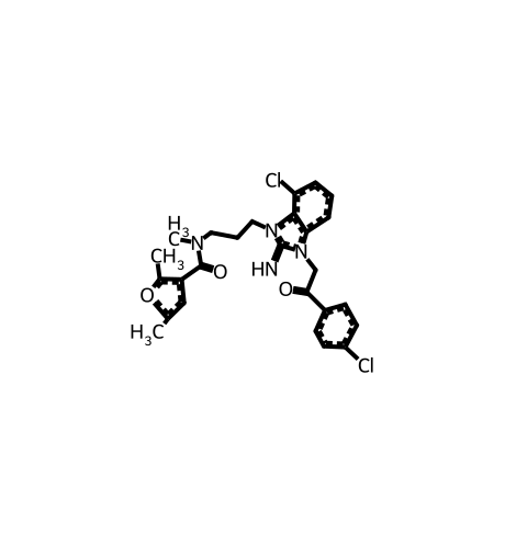 Cc1cc(C(=O)N(C)CCCn2c(=N)n(CC(=O)c3ccc(Cl)cc3)c3cccc(Cl)c32)c(C)o1